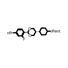 CCCCCC1CCC([C@H]2CO[C@H](c3ccc(CCC)cc3F)OC2)CC1